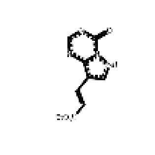 CCOC(=O)C=Cc1c[nH]n2c(=O)ncnc12